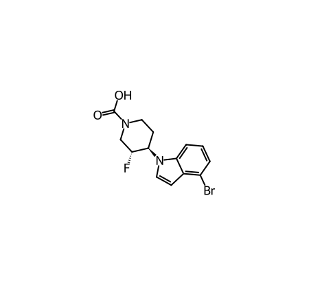 O=C(O)N1CC[C@@H](n2ccc3c(Br)cccc32)[C@H](F)C1